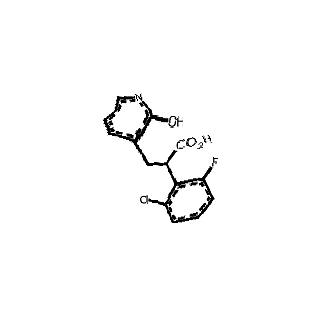 O=C(O)C(Cc1cccnc1O)c1c(F)cccc1Cl